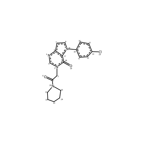 O=C(Cn1cnc2ccn(-c3ccc(Cl)cc3)c2c1=O)N1CCCCC1